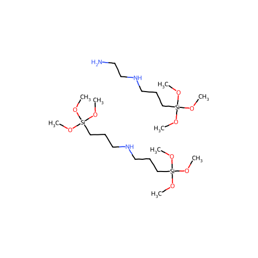 CO[Si](CCCNCCC[Si](OC)(OC)OC)(OC)OC.CO[Si](CCCNCCN)(OC)OC